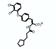 O=C(CCC1CCCC1)NC(=Cc1ccc(Oc2cccc(Cl)c2Cl)cc1)C(=O)O